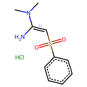 CN(C)/C(N)=C/S(=O)(=O)c1ccccc1.Cl